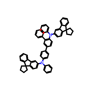 c1ccc(-c2cc(-c3ccc(N(c4ccccc4)c4ccc5c(c4)-c4ccccc4C54CCCC4)cc3)ccc2N(c2ccccc2)c2ccc3c(c2)-c2ccccc2C32CCCC2)cc1